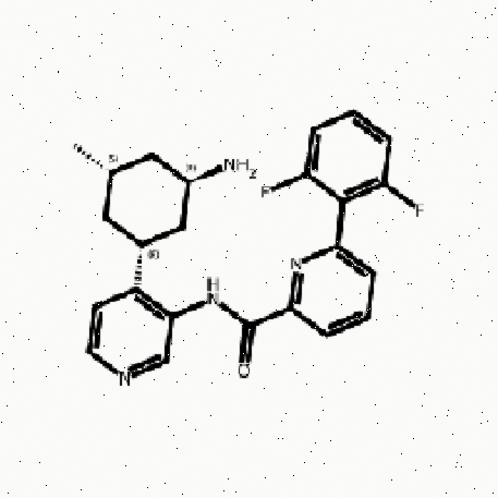 C[C@@H]1C[C@@H](N)C[C@H](c2ccncc2NC(=O)c2cccc(-c3c(F)cccc3F)n2)C1